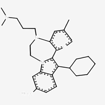 Cc1ccc2c(c1)N(CCCN(C)C)CCn1c-2c(C2CCCCC2)c2ccc(C(=O)O)cc21